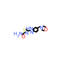 NC(=O)c1nc(-c2nc3ccc(CN4CCOCC4)cc3[nH]2)[c]s1